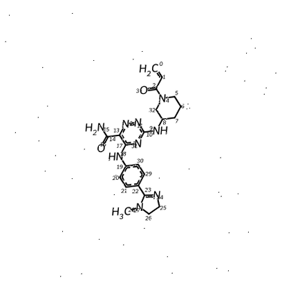 C=CC(=O)N1CCCC(Nc2nnc(C(N)=O)c(Nc3ccc(C4=NCCN4C)cc3)n2)C1